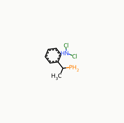 CC(P)c1ccccc1.ClNCl